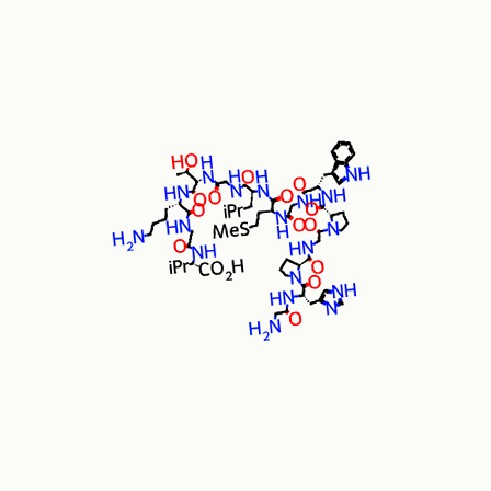 CSCC[C@H](NC(=O)CNC(=O)[C@H](Cc1c[nH]c2ccccc12)NC(=O)[C@@H]1CCCN1C(=O)CNC(=O)[C@@H]1CCCN1C(=O)[C@H](Cc1c[nH]cn1)NC(=O)CN)C(=O)N[C@@H](CC(C)C)C(=O)NCC(=O)N[C@H](C(=O)N[C@@H](CCCCN)C(=O)NCC(=O)N[C@H](C(=O)O)C(C)C)[C@@H](C)O